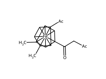 CC(=O)CC(=O)[C]12[CH]3[CH]4[C]5(C)[CH]1[Fe]43521678[CH]2[CH]1[C]6(C(C)=O)[CH]7[C]28C